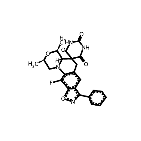 C[C@@H]1CN2c3c(cc4c(-c5ccccc5)noc4c3F)CC3(C(=O)NC(=O)NC3=O)[C@H]2[C@H](C)O1